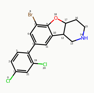 Clc1ccc(-c2cc(Br)c3c(c2)C2CNCCC2O3)c(Cl)c1